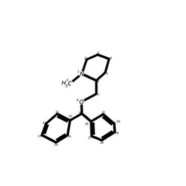 CN1CCCCC1COC(c1ccccc1)c1ccccc1